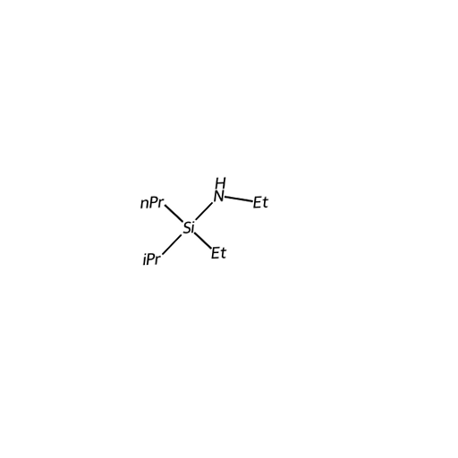 CCC[Si](CC)(NCC)C(C)C